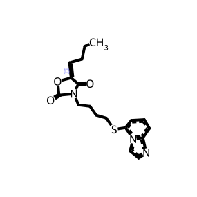 CCC/C=C1/OC(=O)N(CCCCSc2cccc3nccn23)C1=O